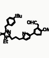 CCn1c(CCCc2ccc(-c3ccc(OC)c(CC=O)c3)cn2)nn(Cc2ccc(C(C)(C)C)cc2)c1=O